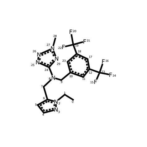 CCn1nccc1CN(Cc1cc(C(F)(F)F)cc(C(F)(F)F)c1)c1nnn(C)n1